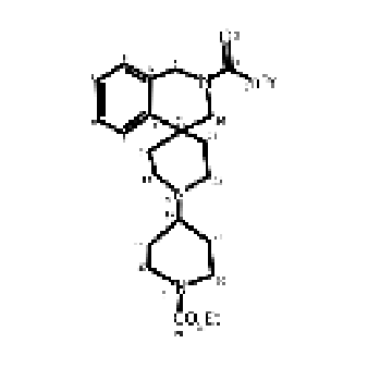 CCCC(=O)N1Cc2ccccc2C2(CCN(C3CCN(C(=O)OCC)CC3)CC2)C1